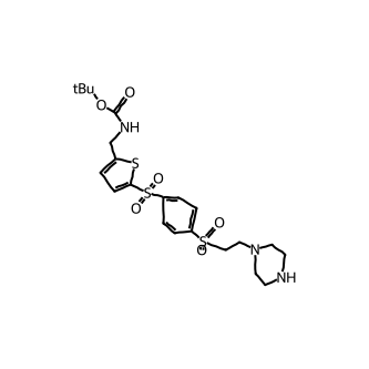 CC(C)(C)OC(=O)NCc1ccc(S(=O)(=O)c2ccc(S(=O)(=O)CCN3CCNCC3)cc2)s1